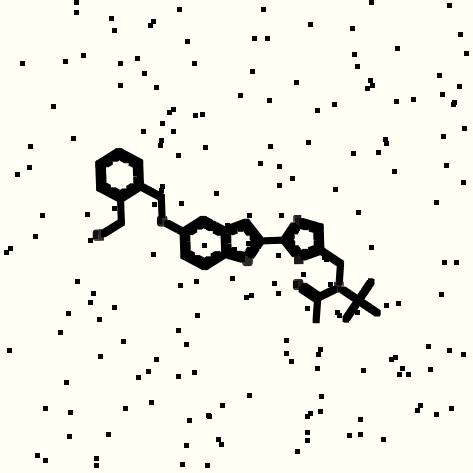 CC(=O)N(Cc1csc(-c2cc3cc(OCc4ccccc4CCl)ccc3o2)n1)C(C)(C)C